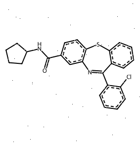 O=C(NC1CCCC1)c1ccc2c(c1)N=C(c1ccccc1Cl)c1ccccc1S2